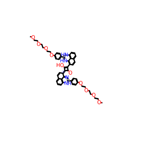 COCCOCCOCCOc1ccc(B2N=c3/c(=C4\C(=O)C(c5ccc6cccc7c6c5NB(c5ccc(OCCOCCOCCOC)cc5)N7)=C4O)ccc4cccc(c34)N2)cc1